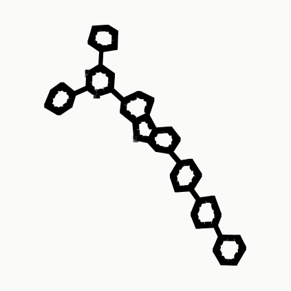 c1ccc(-c2ccc(-c3ccc(-c4ccc5c(c4)sc4cc(-c6cc(-c7ccccc7)nc(-c7ccccc7)n6)ccc45)cc3)cc2)cc1